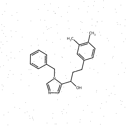 Cc1ccc(CCC(O)c2cncn2Cc2ccccc2)cc1C